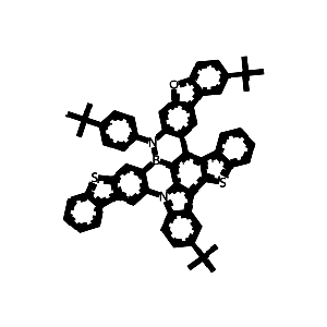 CC(C)(C)c1ccc(N2B3c4cc5sc6ccccc6c5cc4-n4c5ccc(C(C)(C)C)cc5c5c6sc7ccccc7c6c(c3c54)-c3cc4c(cc32)oc2ccc(C(C)(C)C)cc24)cc1